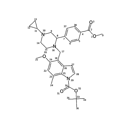 COC(=O)c1ccc(C2CN(C3CC3)CCN2Cc2c(OC)cc(C)c3c2ccn3C(=O)OC(C)(C)C)cc1